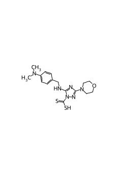 CN(C)c1ccc(CNc2nc(N3CCOCC3)nn2C(=S)S)cc1